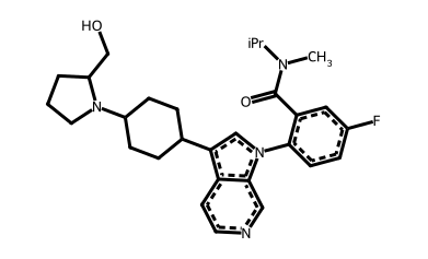 CC(C)N(C)C(=O)c1cc(F)ccc1-n1cc(C2CCC(N3CCCC3CO)CC2)c2ccncc21